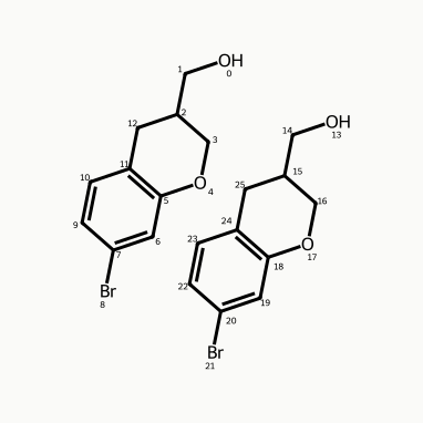 OCC1COc2cc(Br)ccc2C1.OCC1COc2cc(Br)ccc2C1